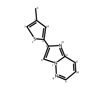 Cc1csc(-c2cn3ncccc3n2)c1